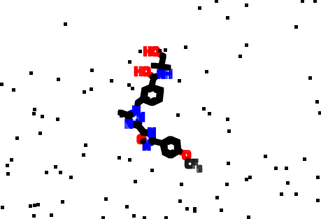 Cc1nc(-c2nc(-c3ccc(OC(F)(F)F)cc3)no2)nn1Cc1cccc(C(O)NC(C)(C)CO)c1